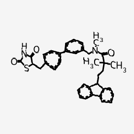 CN(Cc1cccc(-c2ccc(CC3SC(=O)NC3=O)cc2)c1)C(=O)C(C)(C)CCC1c2ccccc2-c2ccccc21